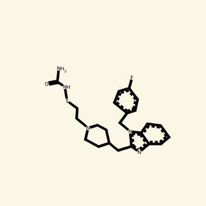 NC(=O)NSCCN1CCC(Cc2nc3ccccc3n2Cc2ccc(F)cc2)CC1